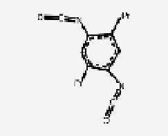 CC(C)c1cc(N=C=O)c(C(C)C)cc1N=C=O